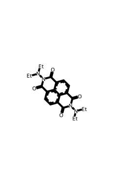 CCN(CC)N1C(=O)c2ccc3c4c(ccc(c24)C1=O)C(=O)N(N(CC)CC)C3=O